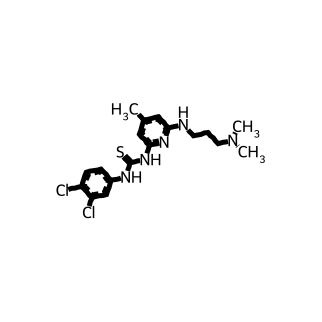 Cc1cc(NCCCN(C)C)nc(NC(=S)Nc2ccc(Cl)c(Cl)c2)c1